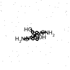 C[C@]12CC[C@H](c3cccc(CO)c3)C[C@@]1(OC(=O)C(=O)O[C@]13CC[C@H](C=NOCCN)[C@@]1(C)CC[C@H](c1cccc(CO)c1)C3)CC[C@@H]2C=NOCCN